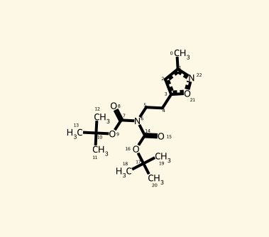 Cc1cc(CCN(C(=O)OC(C)(C)C)C(=O)OC(C)(C)C)on1